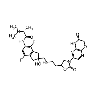 C[C@H](C(=O)Nc1cc(F)c2c(c1F)CC(O)(CNCCC1CN(c3cnc4c(n3)NC(=O)CO4)C(=O)O1)C2)N(C)C